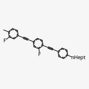 CCCCCCCc1ccc(C#Cc2ccc(C#Cc3ccc(C)c(F)c3)cc2F)cc1